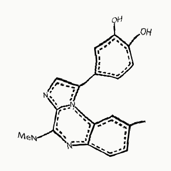 CNc1nc2ccc(C)cc2n2c(-c3ccc(O)c(O)c3)cnc12